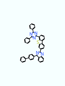 c1ccc(-c2ccc(-c3nc(-c4ccc5c(c4)sc4c(-c6nc(-c7ccccc7)nc(-c7ccccc7)n6)cccc45)nc4ccccc34)cc2)cc1